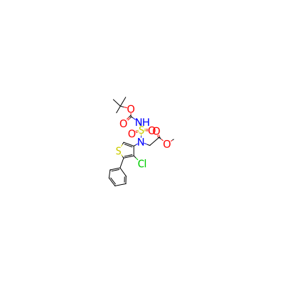 COC(=O)CN(c1csc(-c2ccccc2)c1Cl)S(=O)(=O)NC(=O)OC(C)(C)C